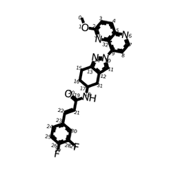 COc1ccc2nccc(-n3cc4c(n3)CCC(NC(=O)C=Cc3ccc(F)c(F)c3)C4)c2n1